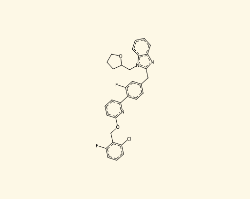 Fc1cc(Cc2nc3ccccc3n2CC2CCCO2)ccc1-c1cccc(OCc2c(F)cccc2Cl)n1